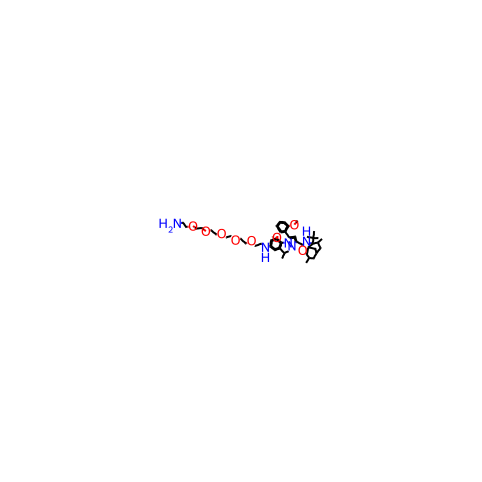 COc1cccc(OC)c1-c1cc(C(=O)NC2(C(C)(C)C)C(C)CC3CC(C)CC2C3)nn1-c1ccc(NCCOCCOCCOCCOCCOCCN)cc1C(C)C